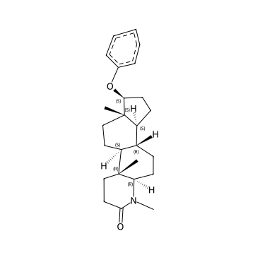 CN1C(=O)CC[C@]2(C)[C@H]3CC[C@]4(C)[C@@H](Oc5ccccc5)CC[C@H]4[C@@H]3CC[C@@H]12